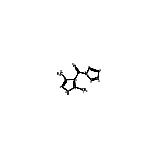 Cc1c[nH]c(C)c1C(=O)n1ccnc1